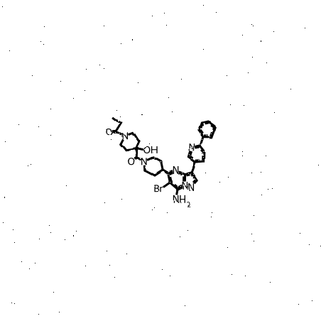 CCC(=O)N1CCC(O)(C(=O)N2CCC(c3nc4c(-c5ccc(-c6ccccc6)nc5)cnn4c(N)c3Br)CC2)CC1